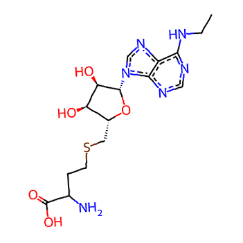 CCNc1ncnc2c1ncn2[C@@H]1O[C@H](CSCCC(N)C(=O)O)[C@@H](O)[C@H]1O